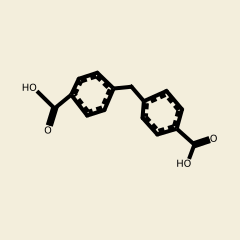 O=C(O)c1ccc([CH]c2ccc(C(=O)O)cc2)cc1